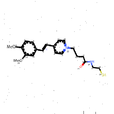 COc1ccc(/C=C/c2cc[n+](CCCC(=O)NCCS)cc2)cc1OC